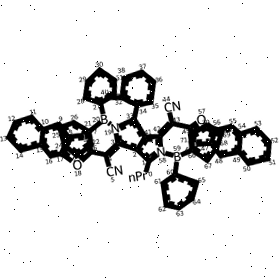 CCCc1c2/c(=C(\C#N)c3nc4cc5ccccc5cc4o3)n(B(c3ccccc3)c3ccccc3)c(-c3ccccc3C)c2/c(=C(\C#N)c2nc3cc4ccccc4cc3o2)n1B(c1ccccc1)c1ccccc1